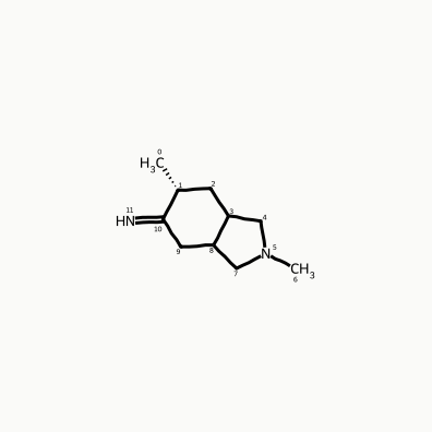 C[C@@H]1CC2CN(C)CC2CC1=N